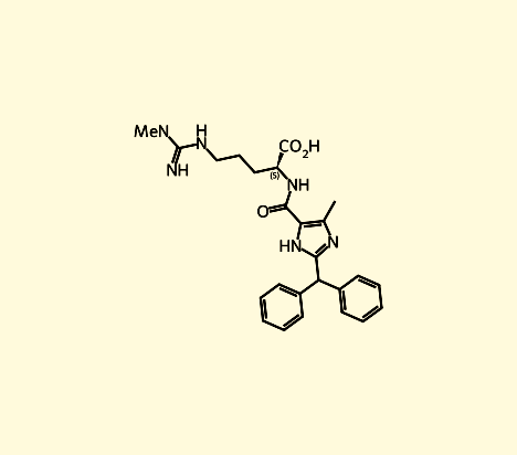 CNC(=N)NCCC[C@H](NC(=O)c1[nH]c(C(c2ccccc2)c2ccccc2)nc1C)C(=O)O